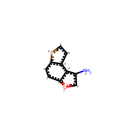 Nc1coc2ccc3sccc3c12